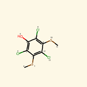 CSc1c(Cl)c(O)c(Cl)c(SC)c1Cl